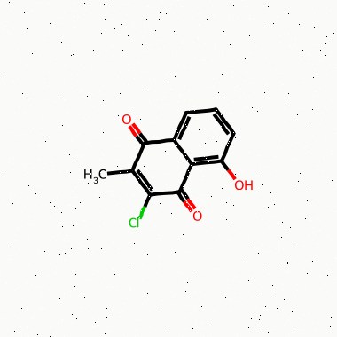 CC1=C(Cl)C(=O)c2c(O)cccc2C1=O